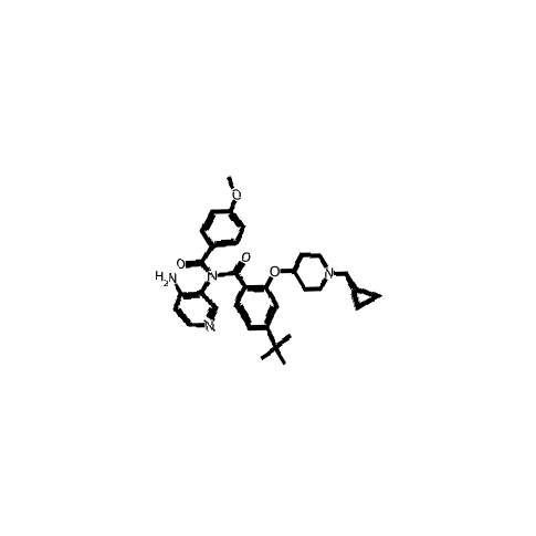 COc1ccc(C(=O)N(C(=O)c2ccc(C(C)(C)C)cc2OC2CCN(CC3CC3)CC2)c2cnccc2N)cc1